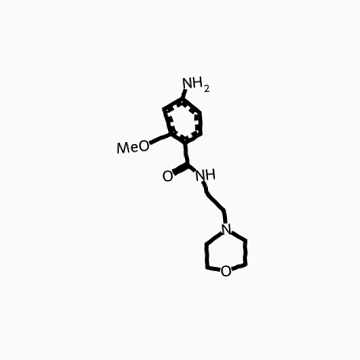 COc1cc(N)ccc1C(=O)NCCN1CCOCC1